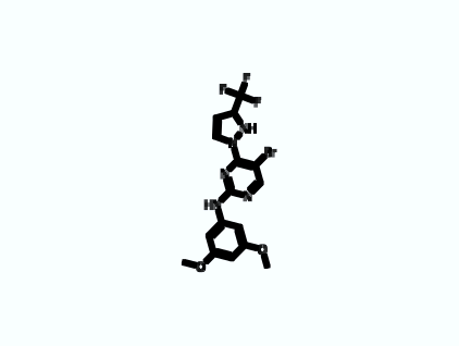 COc1cc(Nc2ncc(Br)c(N3C=CC(C(F)(F)F)N3)n2)cc(OC)c1